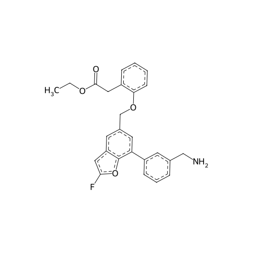 CCOC(=O)Cc1ccccc1OCc1cc(-c2cccc(CN)c2)c2oc(F)cc2c1